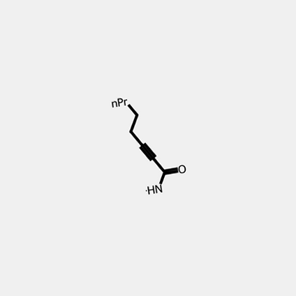 CCCCCC#CC([NH])=O